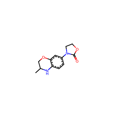 CC1COc2cc(N3C[CH]OC3=O)ccc2N1